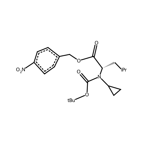 CC(C)C[C@@H](C(=O)OCc1ccc([N+](=O)[O-])cc1)N(C(=O)OC(C)(C)C)C1CC1